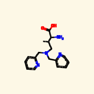 CC(CN(Cc1ccccn1)Cc1ccccn1)C(N)C(=O)O